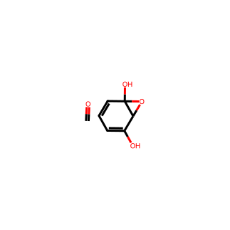 C=O.OC1=CC=CC2(O)OC12